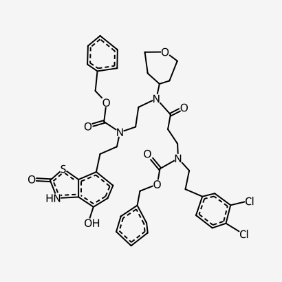 O=C(OCc1ccccc1)N(CCC(=O)N(CCN(CCc1ccc(O)c2[nH]c(=O)sc12)C(=O)OCc1ccccc1)C1CCOCC1)CCc1ccc(Cl)c(Cl)c1